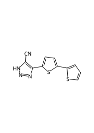 N#Cc1[nH]nnc1-c1ccc(-c2cccs2)s1